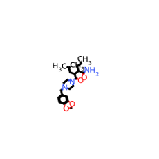 CCCC(C(N)=O)C(CC(C)C)C(=O)N1CCN(Cc2ccc3c(c2)OCO3)CC1